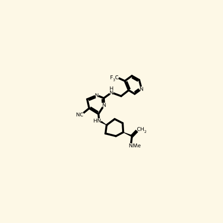 C=C(NC)[C@H]1CC[C@@H](Nc2nc(NCc3cnccc3C(F)(F)F)ncc2C#N)CC1